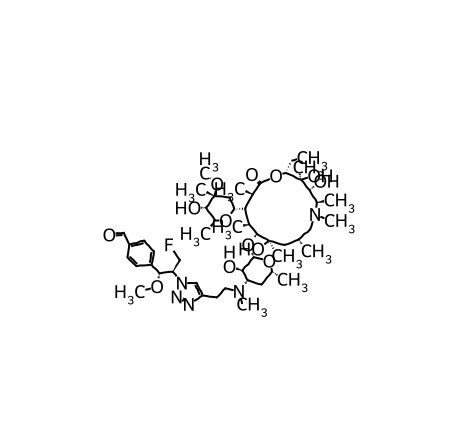 CC[C@H]1OC(=O)[C@H](C)C([C@H]2C[C@@](C)(OC)[C@@H](O)[C@H](C)O2)[C@H](C)[C@@H](O[C@@H]2O[C@H](C)C[C@H](N(C)CCc3cn([C@H](CF)[C@H](OC)c4ccc(C=O)cc4)nn3)[C@H]2O)[C@](C)(O)C[C@@H](C)CN(C)[C@H](C)[C@@H](O)[C@]1(C)O